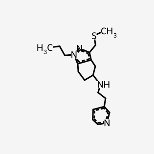 CCCn1nc(CSC)c2c1CCC(NCCc1cccnc1)C2